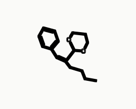 CCCC/C(=C/c1ccccc1)C1OCCCO1